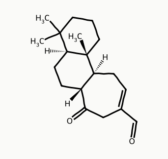 CC1(C)CCC[C@]2(C)[C@H]3CC=C(C=O)CC(=O)[C@@H]3CC[C@@H]12